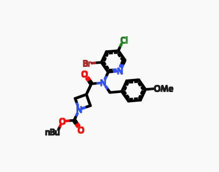 CCCCOC(=O)N1CC(C(=O)N(Cc2ccc(OC)cc2)c2ncc(Cl)cc2Br)C1